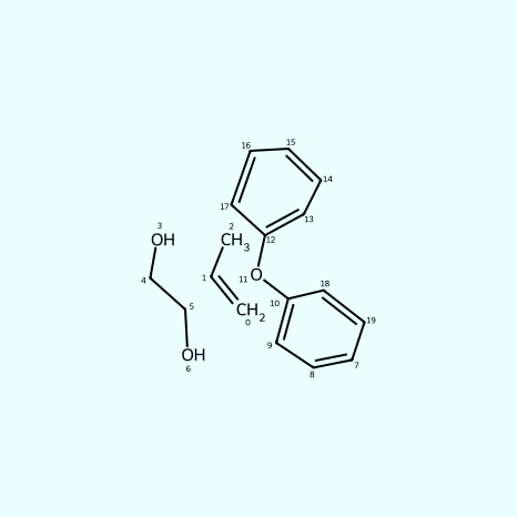 C=CC.OCCO.c1ccc(Oc2ccccc2)cc1